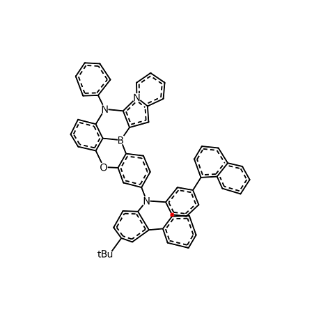 CC(C)(C)c1ccc(N(c2cccc(-c3cccc4ccccc34)c2)c2ccc3c(c2)Oc2cccc4c2B3c2cc3ccccn3c2N4c2ccccc2)c(-c2ccccc2)c1